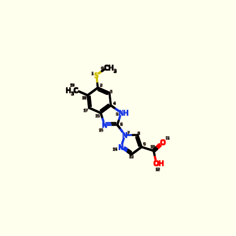 CSc1cc2[nH]c(-n3cc(C(=O)O)cn3)nc2cc1C